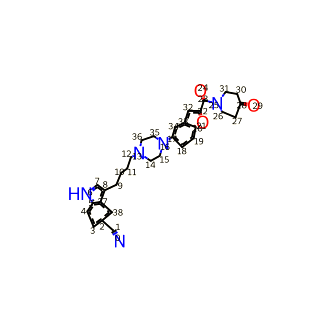 N#Cc1ccc2[nH]cc(CCCCN3CCN(c4ccc5oc(C(=O)N6CCC(=O)CC6)cc5c4)CC3)c2c1